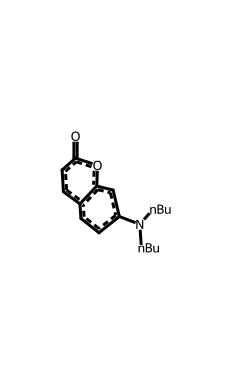 CCCCN(CCCC)c1ccc2ccc(=O)oc2c1